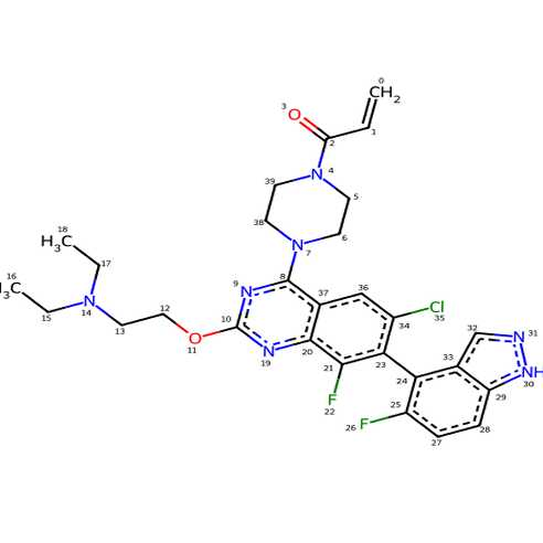 C=CC(=O)N1CCN(c2nc(OCCN(CC)CC)nc3c(F)c(-c4c(F)ccc5[nH]ncc45)c(Cl)cc23)CC1